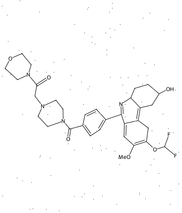 COC1=C(OC(F)F)CC2=C3CC(O)CCC3N=C(c3ccc(C(=O)N4CCN(CC(=O)N5CCOCC5)CC4)cc3)C2=C1